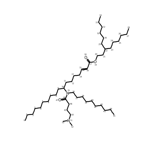 CCCCCCCCCCC(CCCCC=CC(=O)OCCC(CCCCCC)CCCCCC)N(CCCCCCCCCC)C(=O)CCCN(C)C